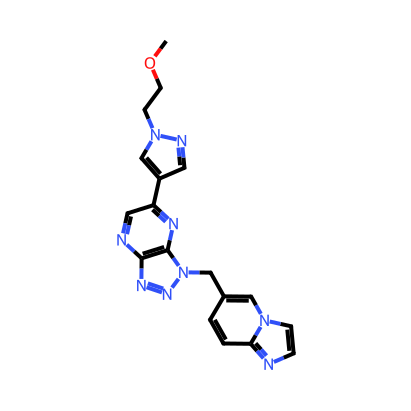 COCCn1cc(-c2cnc3nnn(Cc4ccc5nccn5c4)c3n2)cn1